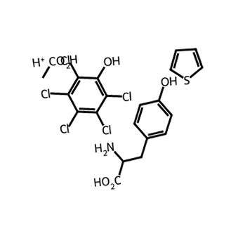 CC(=O)O.NC(Cc1ccc(O)cc1)C(=O)O.Oc1c(Cl)c(Cl)c(Cl)c(Cl)c1Cl.[H+].c1ccsc1